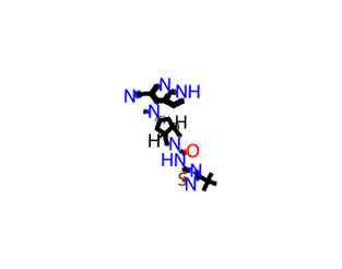 CN(c1c(C#N)cnc2[nH]ccc12)[C@H]1C[C@@H]2CN(C(=O)Nc3nc(C(C)(C)C)ns3)C[C@@H]2C1